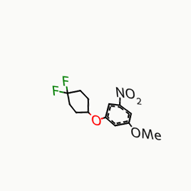 COc1cc(OC2CCC(F)(F)CC2)cc([N+](=O)[O-])c1